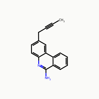 CC#CCc1ccc2nc(N)c3ccccc3c2c1